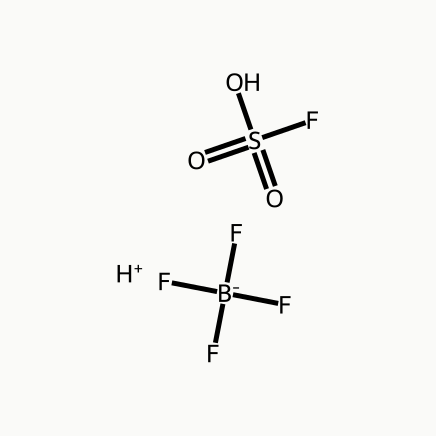 F[B-](F)(F)F.O=S(=O)(O)F.[H+]